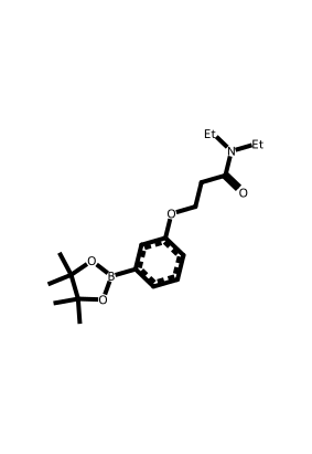 CCN(CC)C(=O)CCOc1cccc(B2OC(C)(C)C(C)(C)O2)c1